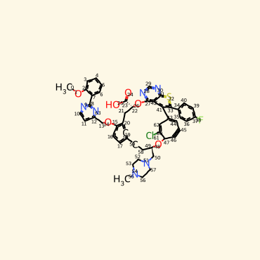 COc1ccccc1-c1nccc(COc2ccc3cc2C[C@H](C(=O)O)Oc2ncnc4sc(-c5ccc(F)cc5)c(c24)C2=CC#CC(O[C@@H](CN4CCN(C)CC4)CC3)C(Cl)=C2)n1